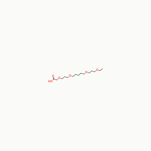 CCOCCCOCCCCCOCCCOCC(=O)O